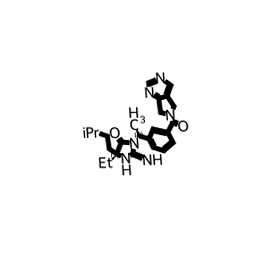 CC[C@@]1(CCC(C)C)NC(=N)N([C@H](C)c2cccc(C(=O)N3Cc4cncnc4C3)c2)C1=O